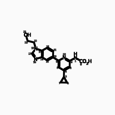 O=C(O)Nc1cc(C2CC2)cc(-c2ccc3c(c2)ncn3CCO)n1